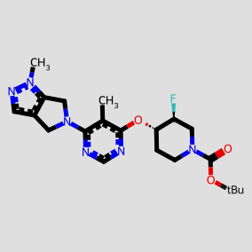 Cc1c(O[C@H]2CCN(C(=O)OC(C)(C)C)C[C@@H]2F)ncnc1N1Cc2cnn(C)c2C1